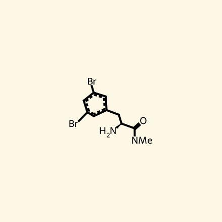 CNC(=O)[C@@H](N)Cc1cc(Br)cc(Br)c1